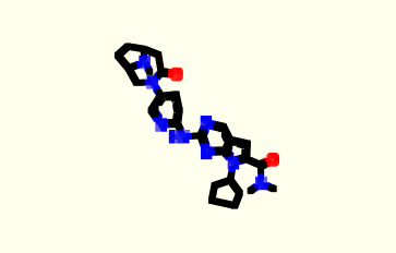 CN(C)C(=O)c1cc2cnc(Nc3ccc(N4CC5CCC(CC4=O)N5C)cn3)nc2n1C1CCCC1